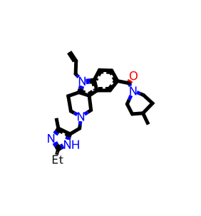 C=CCn1c2c(c3cc(C(=O)N4CCC(C)CC4)ccc31)CN(Cc1[nH]c(CC)nc1C)CC2